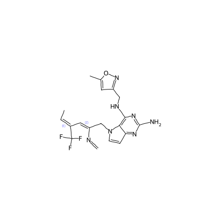 C=N/C(=C\C(=C/C)C(F)(F)F)Cn1ccc2nc(N)nc(NCc3cc(C)on3)c21